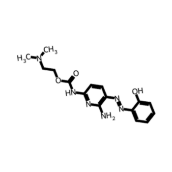 CN(C)CCOC(=O)Nc1ccc(/N=N/c2ccccc2O)c(N)n1